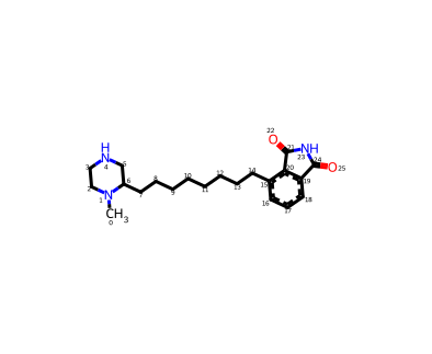 CN1CCNCC1CCCCCCCCc1cccc2c1C(=O)NC2=O